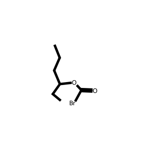 CCCC(CC)OC(=O)Br